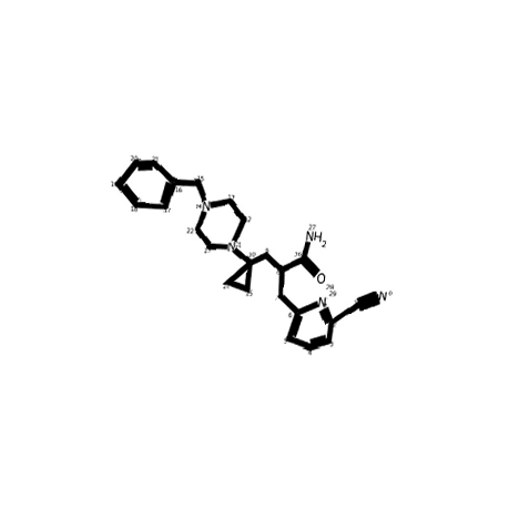 N#Cc1cccc(CC(CC2(N3CCN(Cc4ccccc4)CC3)CC2)C(N)=O)n1